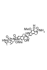 COc1c(O)c2c(c3cc(C(=O)N4CCc5c4c(O)c(OC)c4[nH]c(C(=O)N6CC7C8C[C@@]89c8c(C)c[nH]c8C(=O)C=C6[C@H]79)cc54)[nH]c13)CCN2C(N)=O